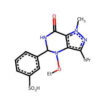 CCCc1nn(C)c2c1N(OCC)C(c1cccc(S(=O)(=O)O)c1)NC2=O